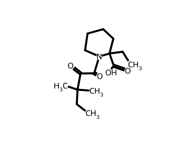 CCC(C)(C)C(=O)C(=O)N1CCCCC1(CC)C(=O)O